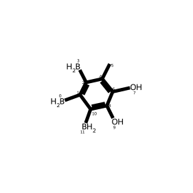 Bc1c(B)c(C)c(O)c(O)c1B